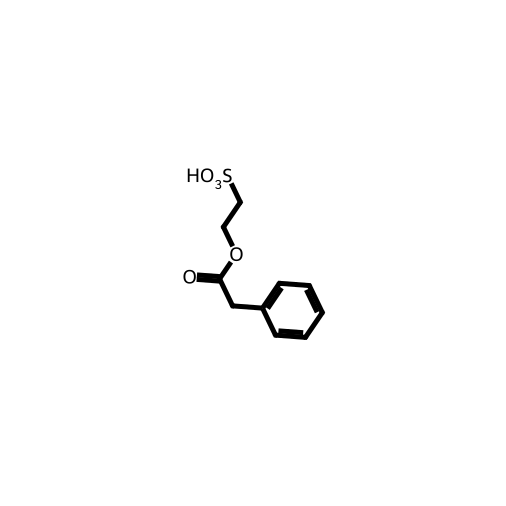 O=C(Cc1ccccc1)OCCS(=O)(=O)O